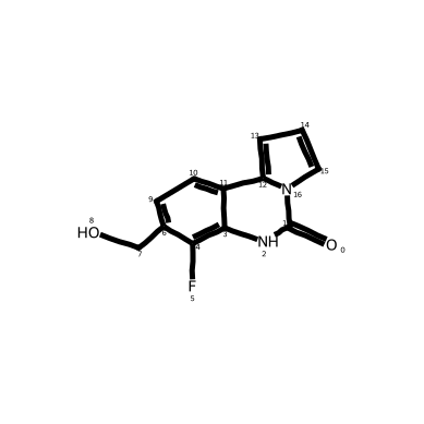 O=c1[nH]c2c(F)c(CO)ccc2c2cccn12